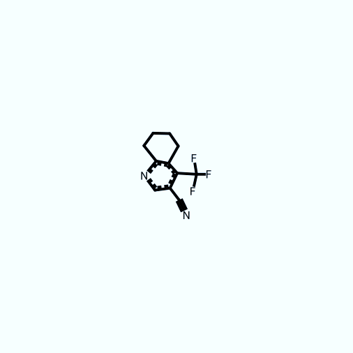 N#Cc1cnc2c(c1C(F)(F)F)CCCC2